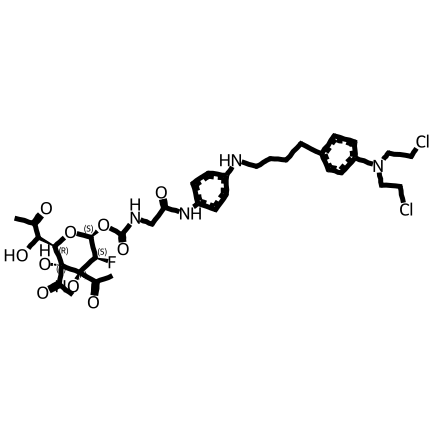 CC(=O)C(O)[C@H]1O[C@@H](OC(=O)NCC(=O)Nc2ccc(NCCCCc3ccc(N(CCCl)CCCl)cc3)cc2)[C@@H](F)[C@](O)(C(C)=O)[C@@]1(O)C(C)=O